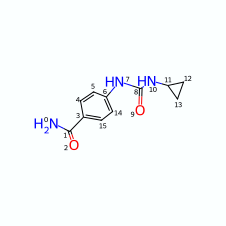 NC(=O)c1ccc(NC(=O)NC2CC2)cc1